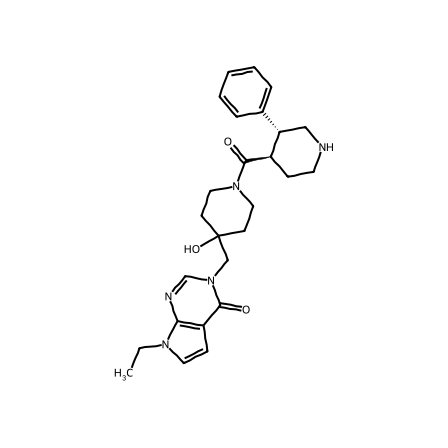 CCn1ccc2c(=O)n(CC3(O)CCN(C(=O)[C@@H]4CCNC[C@H]4c4ccccc4)CC3)cnc21